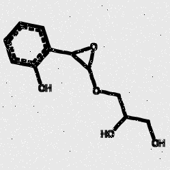 OCC(O)COC1OC1c1ccccc1O